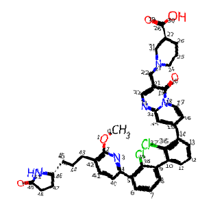 COc1nc(-c2cccc(-c3cccc(-c4ccn5c(=O)c(CN6CCC[C@H](C(=O)O)C6)cnc5c4)c3Cl)c2Cl)ccc1CCC[C@@H]1CCC(=O)N1